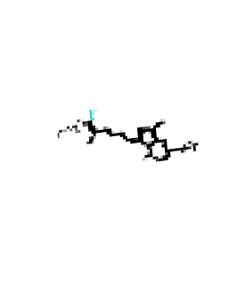 CC(/C=C/C=C/c1cc(C)c2cc(C(C)C)ccc(C)c1-2)=C(/F)C=O